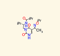 CC(=NOC(C)C)c1c[nH]c(=O)n(CC(NC(=O)C(C)C)C(C)C)c1=O